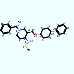 CSNC1CCN([C@@H](C)c2ccccc2)C[C@H]1CO[C@H]1CC[C@@H](c2ccccc2)CC1